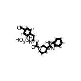 O=C(O)N[C@@H](CC(=O)N1CCCC(c2nc3ccccc3[nH]2)C1)Cc1ccc(Cl)cc1